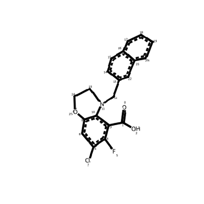 O=C(O)c1c(F)c(Cl)cc2c1N(Cc1ccc3ccccc3c1)CCO2